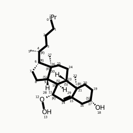 CC(C)CCC[C@@H](C)[C@H]1CC[C@H]2[C@@H]3[C@@H](OO)C=C4C[C@@H](O)CC[C@]4(C)[C@H]3CC[C@]12C